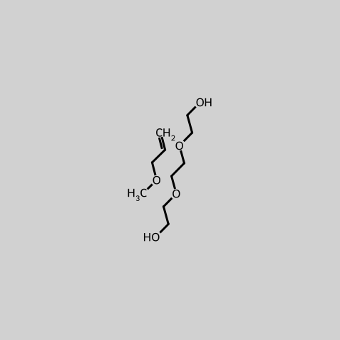 C=CCOC.OCCOCCOCCO